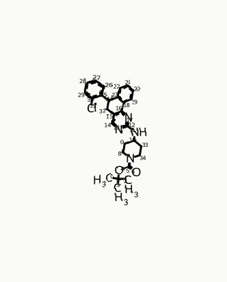 CC(C)(C)OC(=O)N1CCC(Nc2ncc3c(n2)-c2ccccc2C(c2ccccc2Cl)C3)CC1